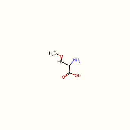 COBC(N)C(=O)O